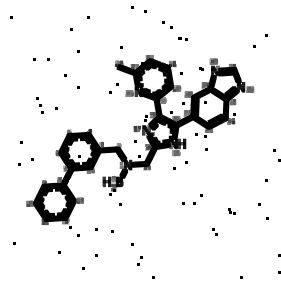 BN(Cc1cccc(-c2ccccc2)c1)Cc1nc(-c2cccc(C)n2)c(C2=CC3N=CN=C3C=C2)[nH]1